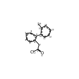 O=C(Cl)Cc1ccccc1-c1ccccc1I